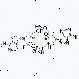 Nc1ncnc2c1ncn2[C@@H]1C[C@@H]2COP(=O)(S)O[C@@H]3C[C@H](n4cnc5c(N)ncnc54)O[C@@H]3COP(=O)(S)OC2[C@@H]1F